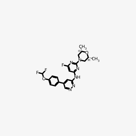 C[C@@H]1CN(c2nc(F)cc(Nc3cc(-c4ccc(OC(F)F)cc4)cnn3)n2)C[C@H](C)O1